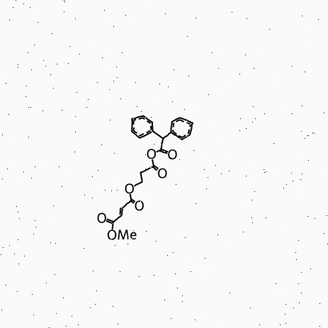 COC(=O)C=CC(=O)OCCC(=O)OC(=O)C(c1ccccc1)c1ccccc1